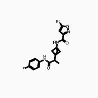 CCc1cc(C(=O)NC23CC(C(C)C(=O)Nc4ccc(F)cc4)(C2)C3)no1